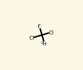 [2H]C(F)(Cl)Cl